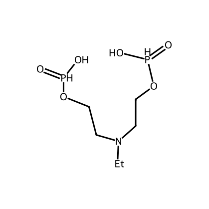 CCN(CCO[PH](=O)O)CCO[PH](=O)O